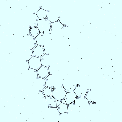 COC(=O)N[C@H](C(=O)N1[C@@H]2CC[C@@H](C2)[C@H]1c1ncc(-c2ccc3c(c2)CCc2cc(-c4cnc([C@@H]5CCCN5C(=O)OC(C)(C)C)[nH]4)ccc2-3)[nH]1)C(C)C